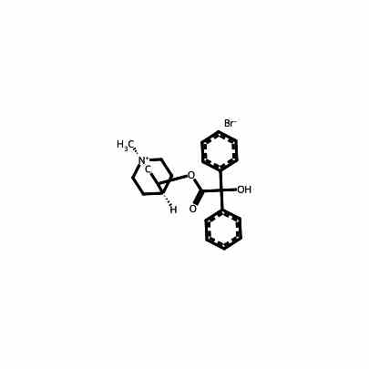 C[N@+]12CC[C@H](CC1)C(OC(=O)C(O)(c1ccccc1)c1ccccc1)C2.[Br-]